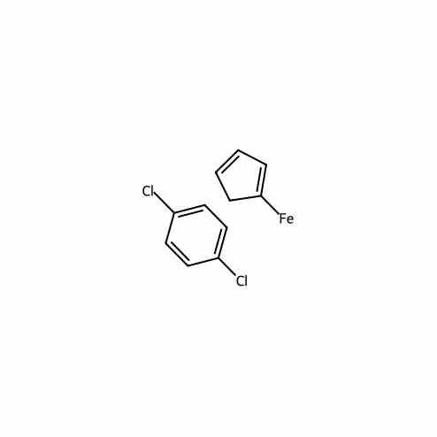 Clc1ccc(Cl)cc1.[Fe][C]1=CC=CC1